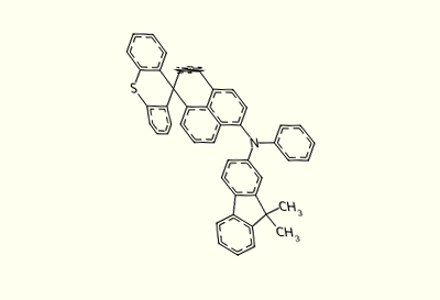 CC1(C)c2ccccc2-c2ccc(N(c3ccccc3)c3ccc4c5c(cccc35)C3(c5ccccc5Sc5ccccc53)c3ccccc3-4)cc21